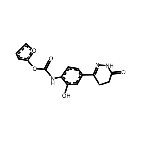 O=C1CCC(c2ccc(NC(=O)Oc3ccco3)c(O)c2)=NN1